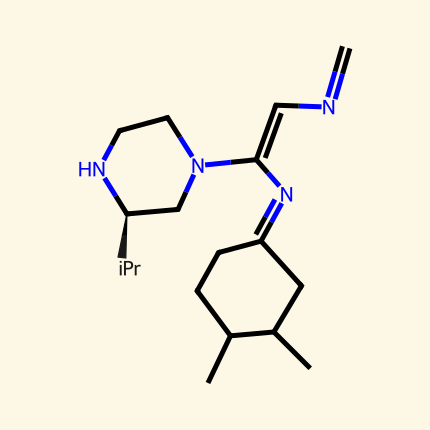 C=N/C=C(\N=C1/CCC(C)C(C)C1)N1CCN[C@H](C(C)C)C1